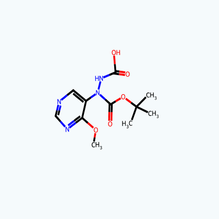 COc1ncncc1N(NC(=O)O)C(=O)OC(C)(C)C